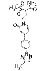 Cc1cnn(-c2ccc(-c3ccn(CCC(C(N)=O)S(C)(=O)=O)c(=O)c3)cc2)n1